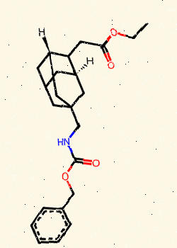 CCOC(=O)CC1[C@@H]2CC3C[C@H]1CC(CNC(=O)OCc1ccccc1)(C3)C2